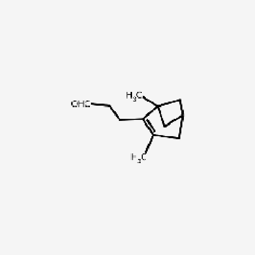 CC1=C(CCC=O)C2(C)CC(C1)C2